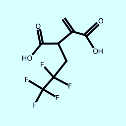 C=C(C(=O)O)C(CC(F)(F)C(F)(F)F)C(=O)O